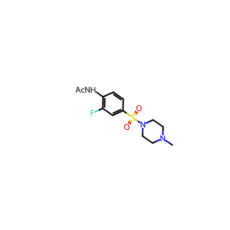 CC(=O)Nc1ccc(S(=O)(=O)N2CCN(C)CC2)cc1F